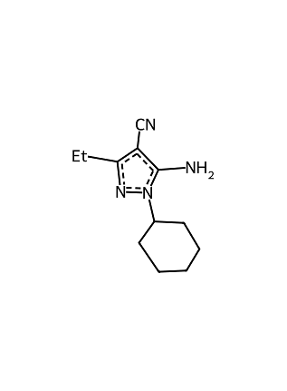 CCc1nn(C2CCCCC2)c(N)c1C#N